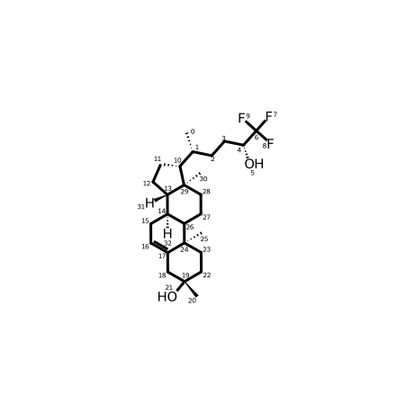 C[C@H](CC[C@@H](O)C(F)(F)F)[C@H]1CC[C@H]2[C@@H]3CC=C4C[C@@](C)(O)CC[C@]4(C)C3CC[C@]12C